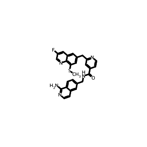 CSc1cc(Cc2cc(C(=O)NCc3ccc4c(N)nccc4c3)ccn2)cc2cc(F)cnc12